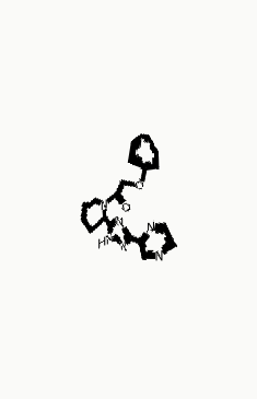 O=C(COc1ccccc1)N1CCCCC1c1nc(-c2cnccn2)n[nH]1